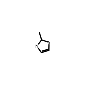 CC1[N]C=CS1